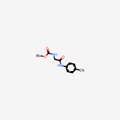 CC(C)(C)OC(=O)NCC(=O)Nc1ccc(C#N)cc1